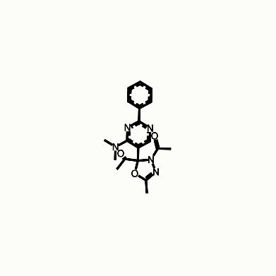 CC(=O)N1N=C(C)OC1(C(C)=O)c1cnc(-c2ccccc2)nc1N(C)C